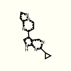 c1cc2nc(-c3c[nH]c4nc(C5CC5)ncc34)ccn2n1